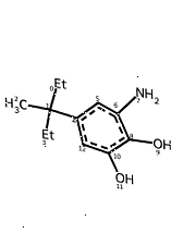 CCC(C)(CC)c1cc(N)c(O)c(O)c1